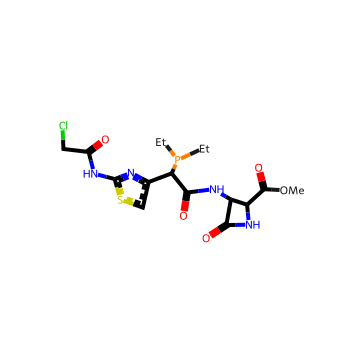 CCP(CC)C(C(=O)NC1C(=O)NC1C(=O)OC)c1csc(NC(=O)CCl)n1